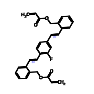 C=CC(=O)OCc1ccccc1/C=C/c1ccc(/C=C/c2ccccc2COC(=O)C=C)c(F)c1